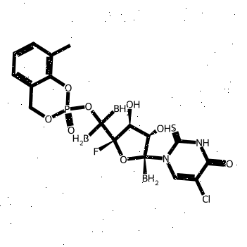 BC(B)(OP1(=O)OCc2cccc(C)c2O1)[C@@]1(F)O[C@@](B)(n2cc(Cl)c(=O)[nH]c2=S)[C@H](O)[C@@H]1O